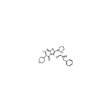 Cc1nc2sc(N3CCC[C@@H]3C(=O)NCc3ccccc3)nn2c(=O)c1C1=CCOCC1